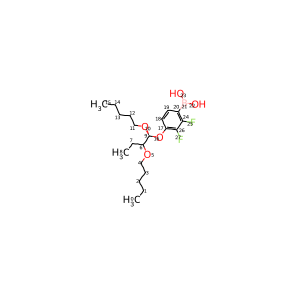 CCCCCOC(CC)[C@@H](OCCCCC)Oc1ccc(B(O)O)c(F)c1F